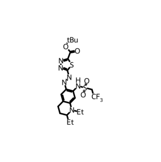 CCC1CCc2cc(N=Nc3nnc(C(=O)OC(C)(C)C)s3)c(NS(=O)(=O)CC(F)(F)F)cc2N1CC